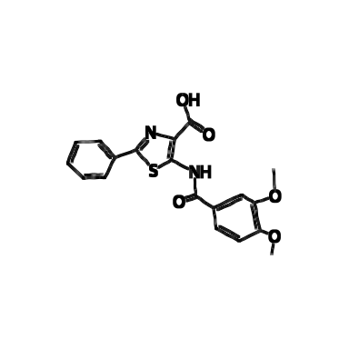 COc1ccc(C(=O)Nc2sc(-c3ccccc3)nc2C(=O)O)cc1OC